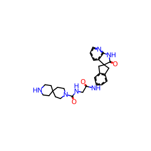 O=C(CNC(=O)N1CCC2(CCNCC2)CC1)Nc1ccc2c(c1)CC1(C2)C(=O)Nc2ncccc21